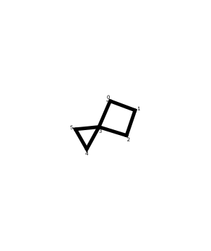 [CH]1CCC12CC2